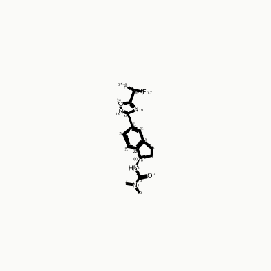 CN(C)C(=O)N[C@@H]1CCc2cc(-c3noc(C(F)F)n3)ccc21